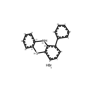 Br.c1ccc(-c2cccc3c2Nc2ccccc2S3)cc1